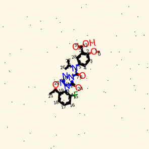 COc1ccc(N(C(=O)n2nnn(-c3c(F)cccc3C(C)=O)c2=O)C(C)C)cc1C(=O)O